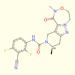 C[C@@H]1Cc2nn3c(c2CN1C(=O)Nc1ccc(F)c(C#N)c1F)C(=O)N(C)OCC3